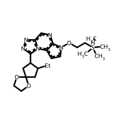 CCC1CC2(CC1c1nnc3cnc4c(ccn4OCC[SH](C)(C)(C)C)n13)OCCO2